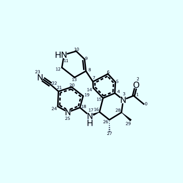 CC(=O)N1c2ccc(C3=CCNCC3)cc2[C@H](Nc2ccc(C#N)cn2)[C@@H](C)[C@@H]1C